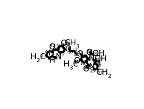 C=C1C[C@H]2C=Nc3cc(OCCCOc4cc5c(cc4OC)C(=O)N4CC(=C)C[C@H]4[C@H](O)N5C(=O)O)c(OC)cc3C(=O)N2C1